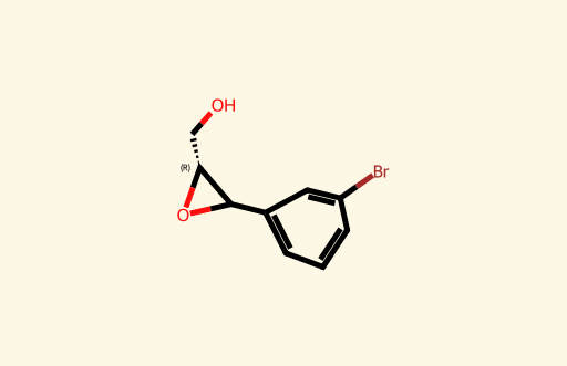 OC[C@H]1OC1c1cccc(Br)c1